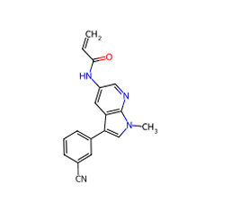 C=CC(=O)Nc1cnc2c(c1)c(-c1cccc(C#N)c1)cn2C